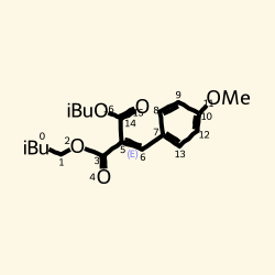 CCC(C)COC(=O)/C(=C/c1ccc(OC)cc1)C(=O)OCC(C)C